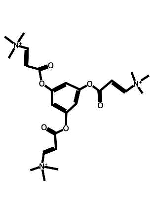 C[N+](C)(C)C=CC(=O)Oc1cc(OC(=O)C=C[N+](C)(C)C)cc(OC(=O)C=C[N+](C)(C)C)c1